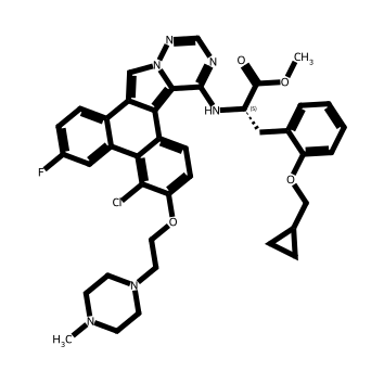 COC(=O)[C@H](Cc1ccccc1OCC1CC1)Nc1ncnn2cc3c4ccc(F)cc4c4c(Cl)c(OCCN5CCN(C)CC5)ccc4c3c12